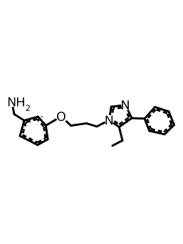 CCc1c(-c2ccccc2)ncn1CCCOc1[c]c(CN)ccc1